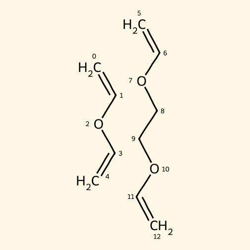 C=COC=C.C=COCCOC=C